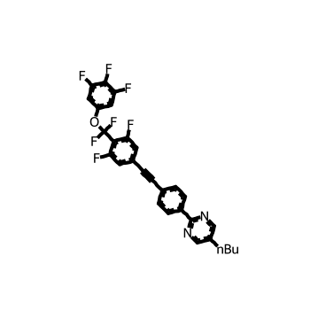 CCCCc1cnc(-c2ccc(C#Cc3cc(F)c(C(F)(F)Oc4cc(F)c(F)c(F)c4)c(F)c3)cc2)nc1